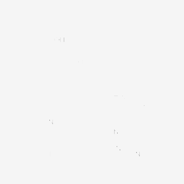 CC(C)(c1ccc(F)cc1)c1cnnn1C1CCc2c(CC(=O)O)c3cccc(F)n3c2C1